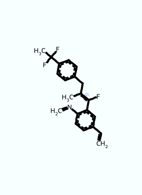 C=Cc1ccc(N=C)c(/C(F)=C(\C)Cc2ccc(C(C)(F)F)cc2)c1